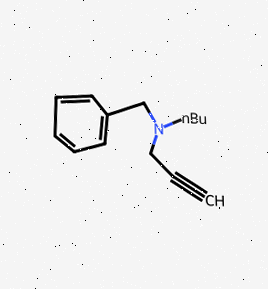 C#CCN(CCCC)Cc1ccccc1